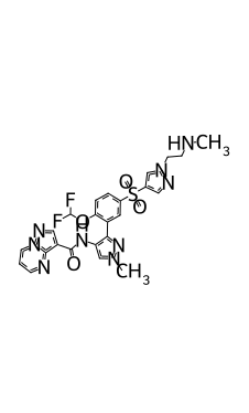 CNCCn1cc(S(=O)(=O)c2ccc(OC(F)F)c(-c3nn(C)cc3NC(=O)c3cnn4cccnc34)c2)cn1